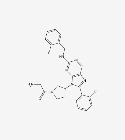 NCC(=O)N1CCC(n2c(-c3ccccc3Cl)nc3cnc(NCc4ccccc4F)nc32)C1